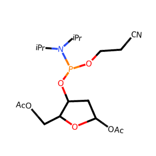 CC(=O)OCC1OC(OC(C)=O)CC1OP(OCCC#N)N(C(C)C)C(C)C